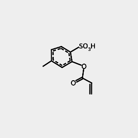 C=CC(=O)Oc1cc(C)ccc1S(=O)(=O)O